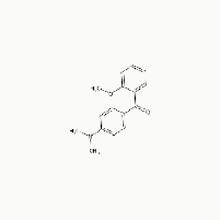 COc1ccccc1C(=O)c1ccc(N(C)C)cc1